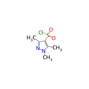 Cc1nn(C)c(C)c1S(=O)(=O)Cl